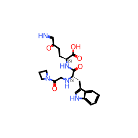 N=CC(=O)CC[C@H](NC(=O)[C@H](Cc1c[nH]c2ccccc12)NCC(=O)N1CCC1)C(=O)O